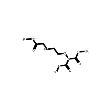 CCCNC(=O)CNCCON(C(=O)OC(C)(C)C)C(=O)OC(C)(C)C